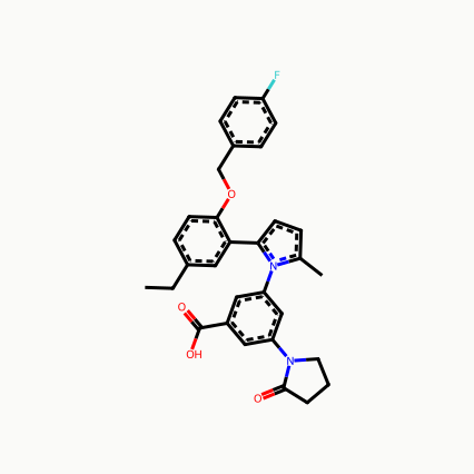 CCc1ccc(OCc2ccc(F)cc2)c(-c2ccc(C)n2-c2cc(C(=O)O)cc(N3CCCC3=O)c2)c1